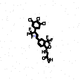 CNC(=O)CNC(=O)c1ccc(/C=C/C(c2cc(Cl)c(Cl)c(Cl)c2)C(F)(F)F)cc1C(F)(F)F